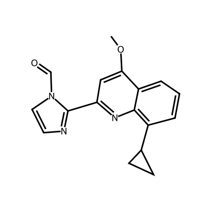 COc1cc(-c2nccn2C=O)nc2c(C3CC3)cccc12